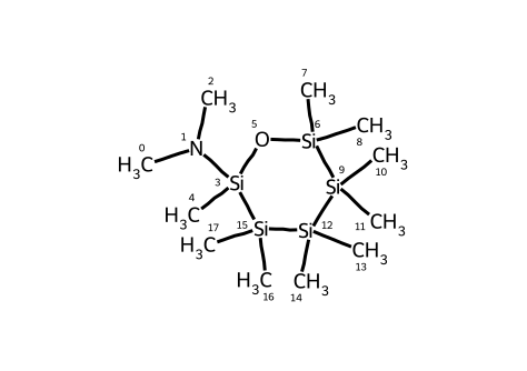 CN(C)[Si]1(C)O[Si](C)(C)[Si](C)(C)[Si](C)(C)[Si]1(C)C